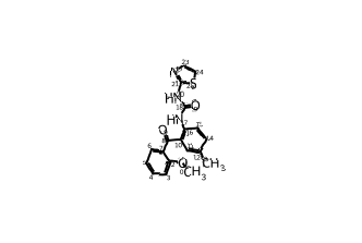 COc1ccccc1C(=O)c1cc(C)ccc1NC(=O)Nc1nccs1